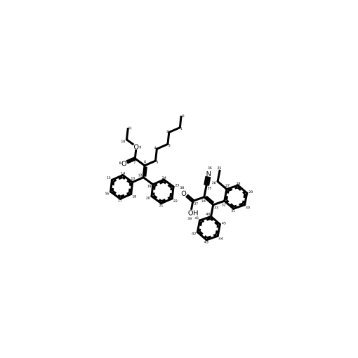 CCCCCCC(C(=O)OCC)=C(c1ccccc1)c1ccccc1.CCc1ccccc1C(=C(C#N)C(=O)O)c1ccccc1